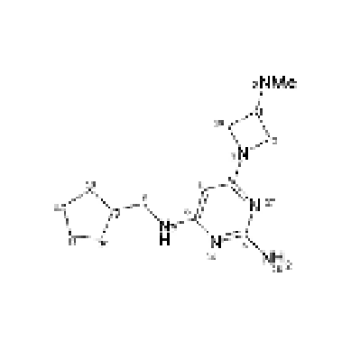 CNC1CN(c2cc(NCC3CCCC3)nc(N)n2)C1